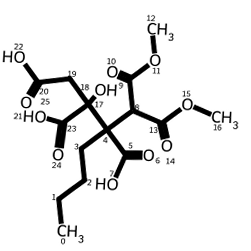 CCCCC(C(=O)O)(C(C(=O)OC)C(=O)OC)C(O)(CC(=O)O)C(=O)O